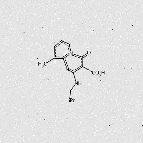 Cc1cccn2c(=O)c(C(=O)O)c(NCC(C)C)nc12